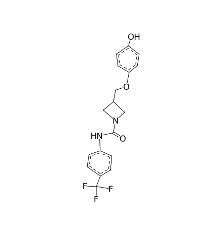 O=C(Nc1ccc(C(F)(F)F)cc1)N1CC(COc2ccc(O)cc2)C1